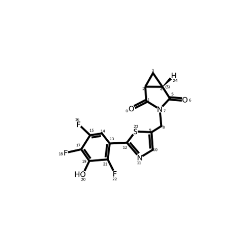 O=C1C2C[C@@H]2C(=O)N1Cc1cnc(-c2cc(F)c(F)c(O)c2F)s1